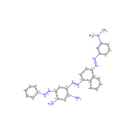 CN(C)c1cccc(/N=N/c2ccc(/N=N/c3cc(/N=N/c4ccccc4)c(N)cc3N)c3ccccc23)c1